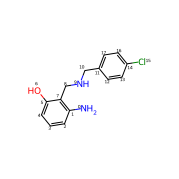 Nc1cccc(O)c1CNCc1ccc(Cl)cc1